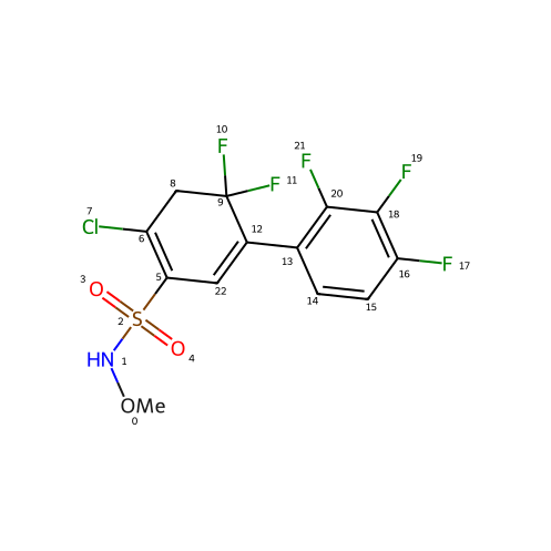 CONS(=O)(=O)C1=C(Cl)CC(F)(F)C(c2ccc(F)c(F)c2F)=C1